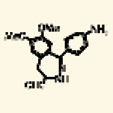 COc1cc2c(cc1OC)C(c1ccc(N)cc1)=NNC(C=O)C2